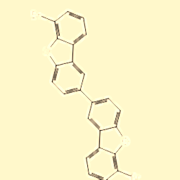 Brc1cccc2c1oc1ccc(-c3ccc4oc5c(Br)cccc5c4c3)cc12